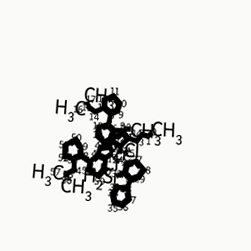 CCCCC1=Cc2c(-c3ccccc3CC(C)C)cccc2[CH]1[Zr]([Cl])([Cl])([c]1cccc2c1[SiH2]c1ccccc1-2)[CH]1C(CCCC)=Cc2c(-c3ccccc3CC(C)C)cccc21